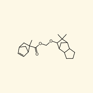 CC1(C(=O)OCOC2C3CC(C4CCCC43)C2(C)C)CC2C=CC1C2